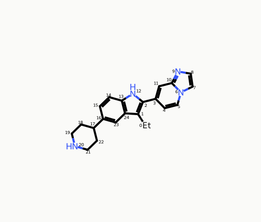 CCc1c(-c2ccn3ccnc3c2)[nH]c2ccc(C3CCNCC3)cc12